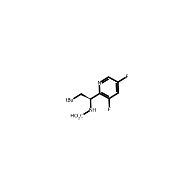 CC(C)(C)C[C@H](NC(=O)O)c1ncc(F)cc1F